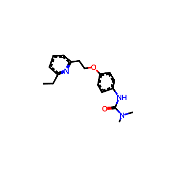 CCc1cccc(CCOc2ccc(NC(=O)N(C)C)cc2)n1